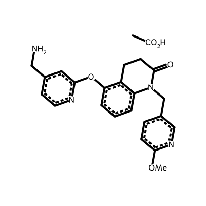 CC(=O)O.COc1ccc(CN2C(=O)CCc3c(Oc4cc(CN)ccn4)cccc32)cn1